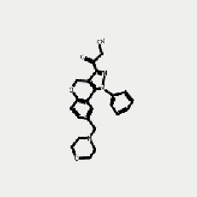 N#CCC(=O)c1nn(-c2ccccc2)c2c1COc1ccc(CN3CCOCC3)cc1-2